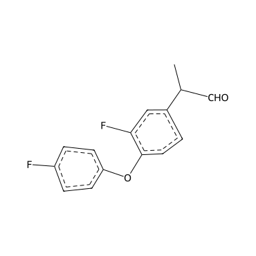 CC(C=O)c1ccc(Oc2ccc(F)cc2)c(F)c1